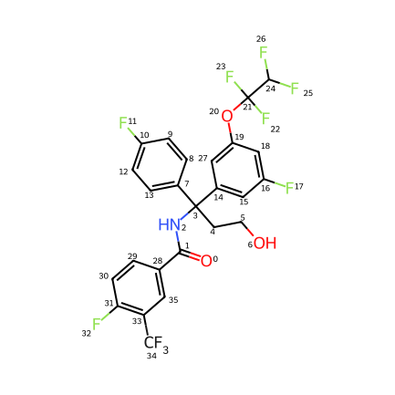 O=C(NC(CCO)(c1ccc(F)cc1)c1cc(F)cc(OC(F)(F)C(F)F)c1)c1ccc(F)c(C(F)(F)F)c1